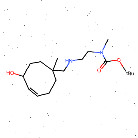 CN(CCNCC1(C)CC/C=C\C(O)CC1)C(=O)OC(C)(C)C